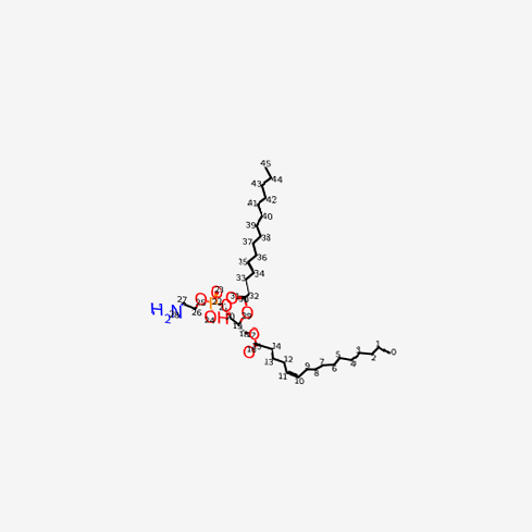 CCCCCCCCCC/C=C\CCCC(=O)OC[C@H](COP(=O)(O)OCCN)OC(=O)CCCCCCCCCCCCCC